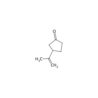 C=C(C)C1CCC(=O)C1